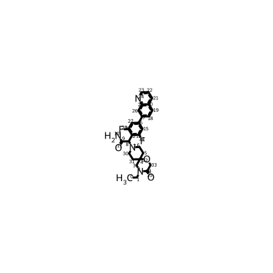 CCN1CC2(CCN(C(C(N)=O)c3c(F)cc(-c4ccc5cccnc5c4)cc3F)CC2)OCC1=O